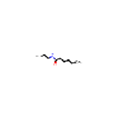 COCCCCC(=O)NCCC(C)(C)C